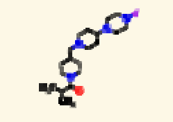 CC(C)C(=O)N1CCC(CN2CCC(N3CCN(I)CC3)CC2)CC1